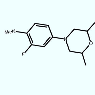 CNc1ccc(N2CC(C)OC(C)C2)cc1F